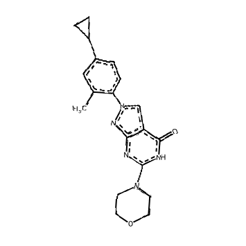 Cc1cc(C2CC2)ccc1-n1cc2c(=O)[nH]c(N3CCOCC3)nc2n1